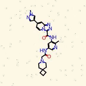 Cc1ncc(NC(=O)CN2CCC3(CCC3)CC2)cc1NC(=O)c1nnc2cc(-c3cnn(C)c3)ccn12